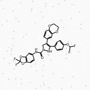 O=C(Nc1ccc2c(c1)OC(F)(F)O2)N1CC(c2ccc3c(c2)OCCO3)=C(c2ccc(OC(F)F)cc2)N1